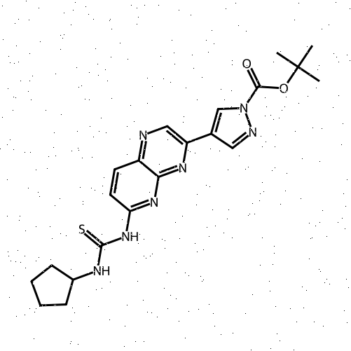 CC(C)(C)OC(=O)n1cc(-c2cnc3ccc(NC(=S)NC4CCCC4)nc3n2)cn1